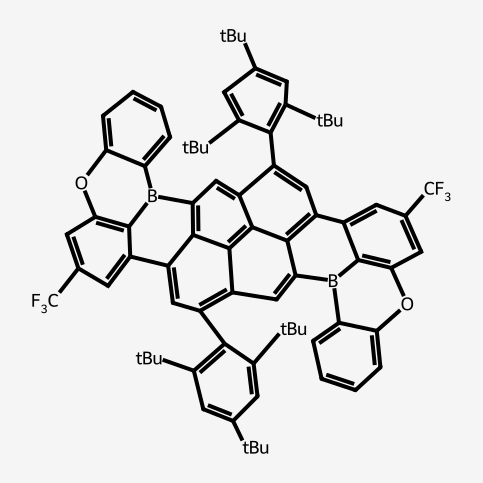 CC(C)(C)c1cc(C(C)(C)C)c(-c2cc3c4c(cc5c(-c6c(C(C)(C)C)cc(C(C)(C)C)cc6C(C)(C)C)cc6c7c(cc2c4c57)B2c4ccccc4Oc4cc(C(F)(F)F)cc-6c42)B2c4ccccc4Oc4cc(C(F)(F)F)cc-3c42)c(C(C)(C)C)c1